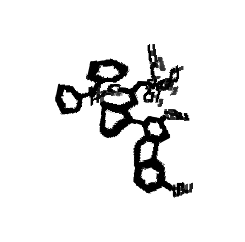 C=C(CC1=[C]([Hf+2]=[C](c2ccccc2)c2ccccc2)CC=C1c1cc(C(C)(C)C)cc2c1Cc1ccc(C(C)(C)C)cc1-2)C[Si](C)(C)C.[Cl-].[Cl-]